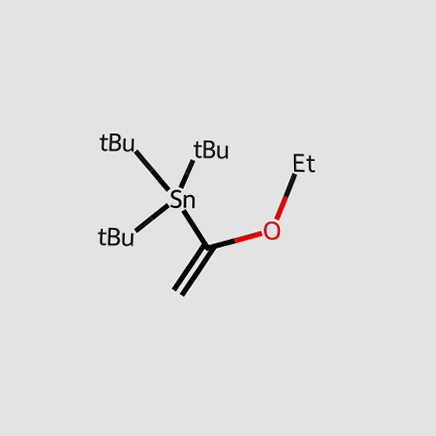 C=[C](OCC)[Sn]([C](C)(C)C)([C](C)(C)C)[C](C)(C)C